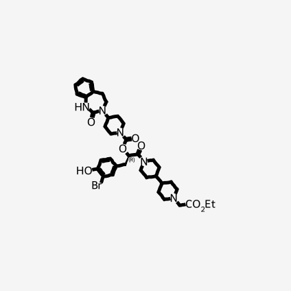 CCOC(=O)CN1CCC(C2CCN(C(=O)[C@@H](Cc3ccc(O)c(Br)c3)OC(=O)N3CCC(N4CCc5ccccc5NC4=O)CC3)CC2)CC1